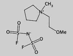 COCC[N+]1(C)CCCC1.O=S(=O)(F)[N-]S(=O)(=O)F